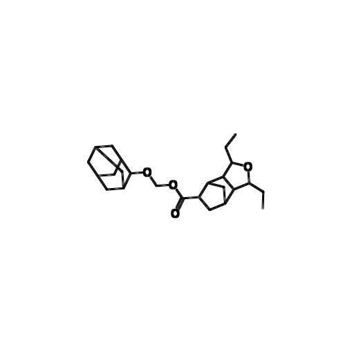 CCC1OC(CC)C2C3CC(CC3C(=O)OCOC3C4CC5CC(C4)CC3C5)C12